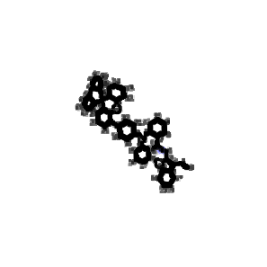 C=Cc1c(/C=C(\C)c2ccccc2N(c2ccccc2)c2ccc(-c3cccc4c3Oc3ccccc3C43c4ccccc4-c4ccccc43)cc2)oc2ccccc12